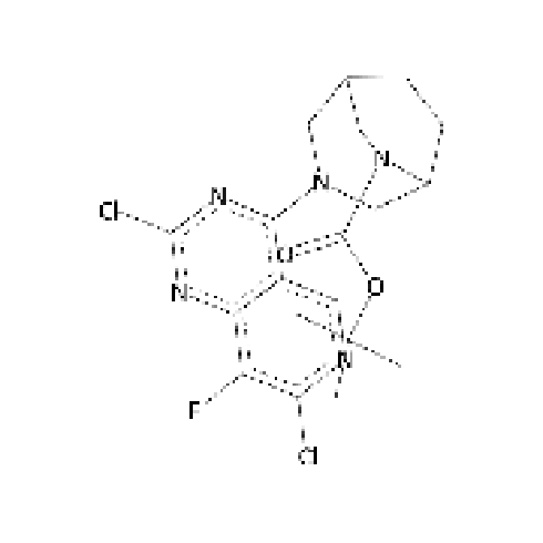 CC(C)(C)OC(=O)N1CC2CCC1CN(c1nc(Cl)nc3c(F)c(Cl)ncc13)C2